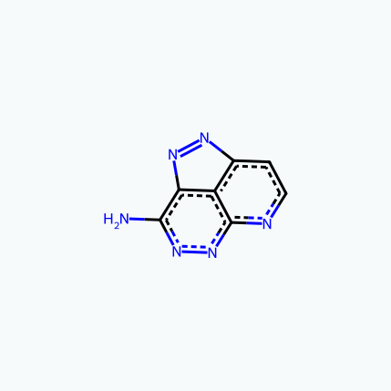 Nc1nnc2nccc3c2c1N=N3